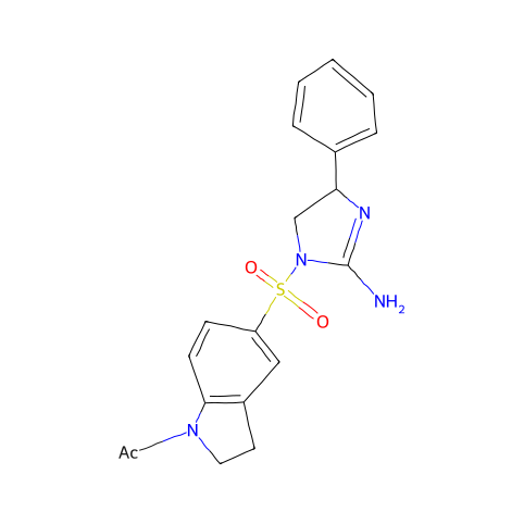 CC(=O)N1CCc2cc(S(=O)(=O)N3CC(c4ccccc4)N=C3N)ccc21